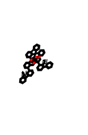 Cn1c2ccccc2c2cccc(-c3cccc4c(-c5cccc6c5C5(c7ccccc7-c7ccccc75)c5ccccc5-6)c5cccc(-c6cccc7c8ccccc8n(C)c67)c5cc34)c21